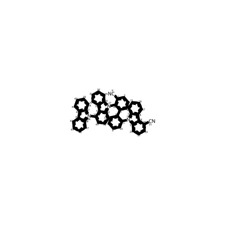 N#Cc1cccc(-c2ccccc2-n2c3ccccc3c3c(C#N)cccc32)c1-n1c2ccccc2c2c(-n3c4ccccc4c4ccccc43)cccc21